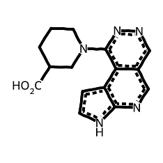 O=C(O)C1CCCN(c2nncc3cnc4[nH]ccc4c23)C1